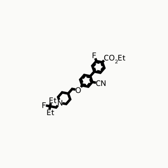 CCOC(=O)c1ccc(-c2ccc(OCC3CCN(CC(F)(CC)CC)CC3)cc2C#N)cc1F